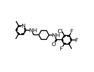 Cc1cc(C)nc(NCC2CCC(NC(=O)c3c(F)c(C)c(F)c(F)c3Cl)CC2)c1